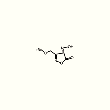 CC(C)(C)OCC1=NOC(=O)/C1=N\O